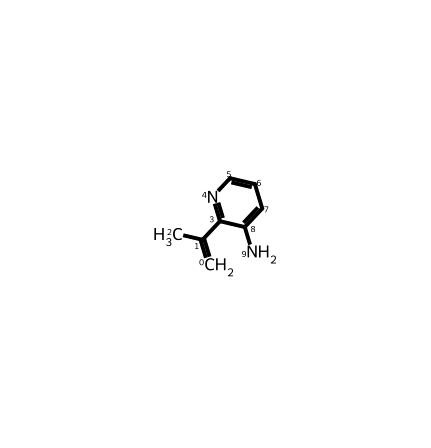 C=C(C)c1ncccc1N